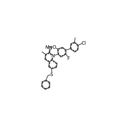 COc1cc(-c2ccc(Cl)c(C)c2)c(F)cc1-n1c(=O)c(C)cc2cc(SCc3ccccc3)ccc21